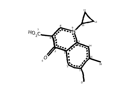 Cc1cc2c(=O)c(C(=O)O)cn(C3CC3)c2cc1C